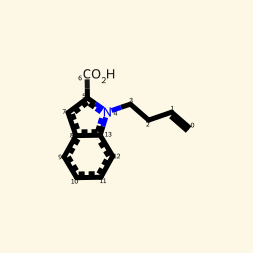 C=CCCn1c(C(=O)O)cc2ccccc21